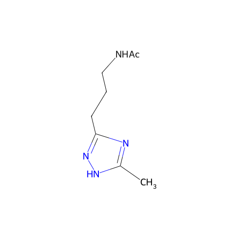 CC(=O)NCCCc1n[nH]c(C)n1